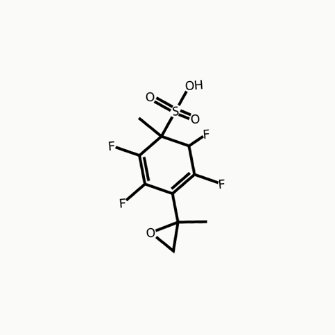 CC1(C2=C(F)C(F)C(C)(S(=O)(=O)O)C(F)=C2F)CO1